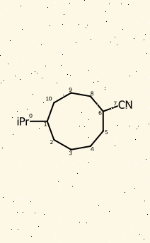 CC(C)C1CCCCC(C#N)CCC1